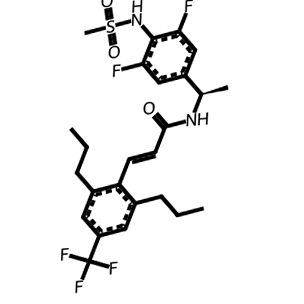 CCCc1cc(C(F)(F)F)cc(CCC)c1/C=C/C(=O)N[C@H](C)c1cc(F)c(NS(C)(=O)=O)c(F)c1